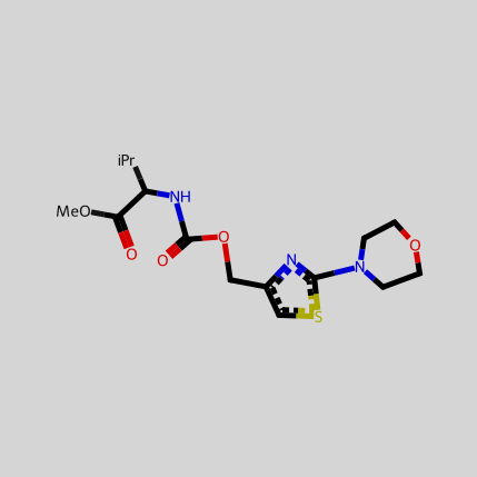 COC(=O)C(NC(=O)OCc1csc(N2CCOCC2)n1)C(C)C